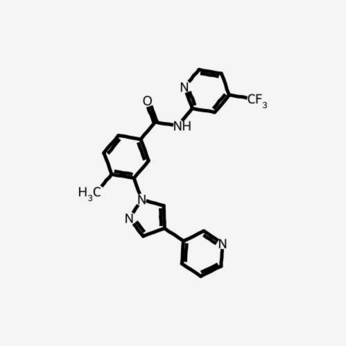 Cc1ccc(C(=O)Nc2cc(C(F)(F)F)ccn2)cc1-n1cc(-c2cccnc2)cn1